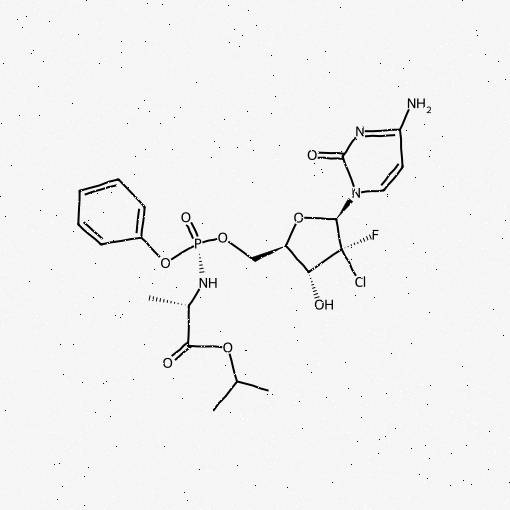 CC(C)OC(=O)[C@H](C)N[P@](=O)(OC[C@H]1O[C@@H](n2ccc(N)nc2=O)[C@@](F)(Cl)[C@@H]1O)Oc1ccccc1